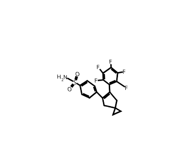 NS(=O)(=O)c1ccc(C2=C(c3c(F)c(F)c(F)c(F)c3F)CC3(CC3)C2)cc1